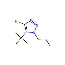 CCCn1nnc(Br)c1C(C)(C)C